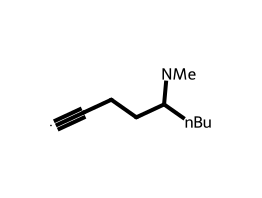 [C]#CCCC(CCCC)NC